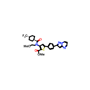 COCCN(c1cc(-c2ccc(-c3cc4ncccn4n3)cc2)sc1C(=O)OC)C(=O)[C@H]1CC[C@H](C(F)(F)F)CC1